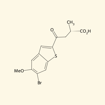 COc1cc2cc(C(=O)C[C@H](C)C(=O)O)sc2cc1Br